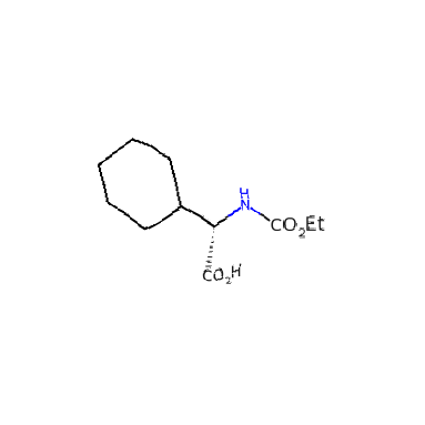 CCOC(=O)N[C@H](C(=O)O)C1CCCCC1